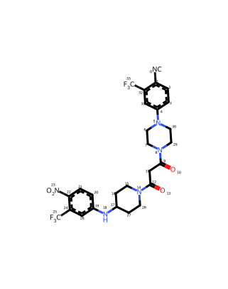 [C-]#[N+]c1ccc(N2CCN(C(=O)CC(=O)N3CCC(Nc4ccc([N+](=O)[O-])c(C(F)(F)F)c4)CC3)CC2)cc1C(F)(F)F